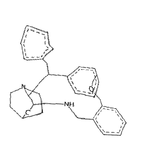 COc1ccccc1CNC1CC2CCN(CC2)C1C(c1ccccc1)c1ccccc1